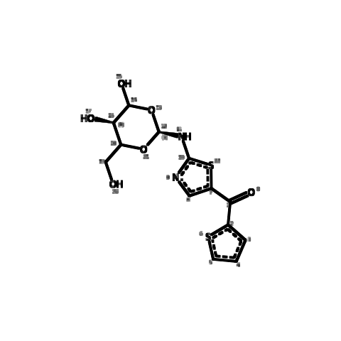 O=C(c1cccs1)c1cnc(N[C@@H]2OC(O)[C@H](O)C(CO)O2)s1